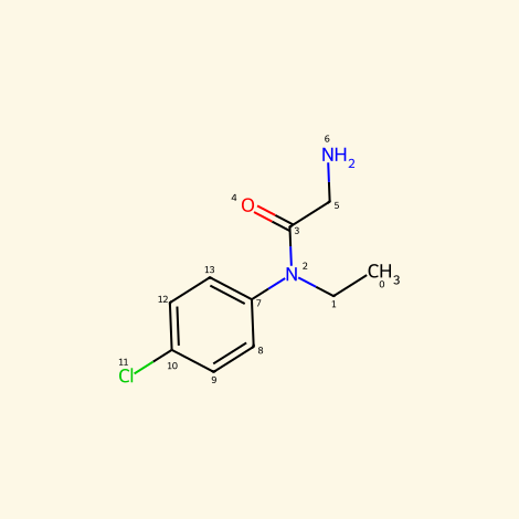 CCN(C(=O)CN)c1ccc(Cl)cc1